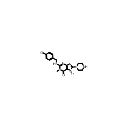 CCn1c(N2CCNCC2)nc2nc(NCc3ccc(Cl)cc3)n(C)c(=O)c21